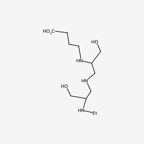 CCNC(CO)CNCC(CO)NCCCC(=O)O